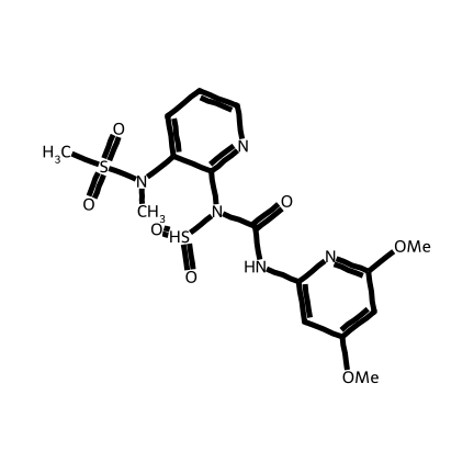 COc1cc(NC(=O)N(c2ncccc2N(C)S(C)(=O)=O)[SH](=O)=O)nc(OC)c1